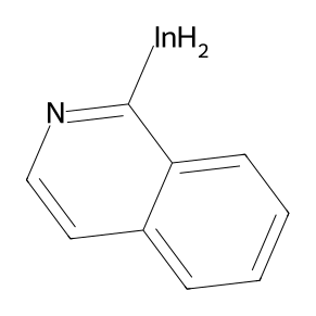 [InH2][c]1nccc2ccccc12